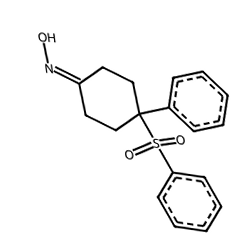 O=S(=O)(c1ccccc1)C1(c2ccccc2)CCC(=NO)CC1